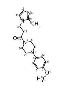 COc1ccc(N2CCN(C(=O)CCn3ccnc3C)CC2)cc1